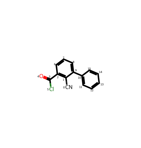 N#Cc1c(C(=O)Cl)cccc1-c1ccccc1